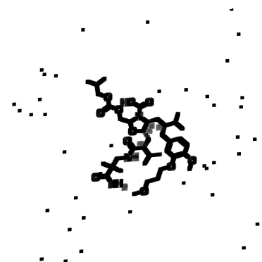 COCCCOc1cc(C[C@@H](C[C@H]2[C@H](C[C@H](C(=O)NCC(C)(C)C(N)=O)C(C)C)OC(COC(=O)OCC(C)C)N2C(=O)O)C(C)C)ccc1OC